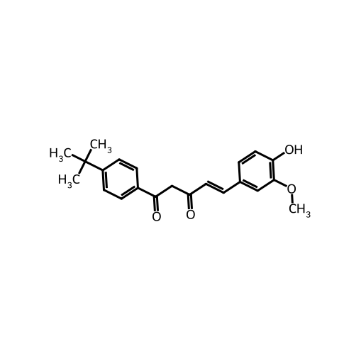 COc1cc(/C=C/C(=O)CC(=O)c2ccc(C(C)(C)C)cc2)ccc1O